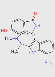 CN(C)N(C)c1[nH]c2c(N)cccc2c1[C@H]1NC(=O)c2ccc(O)cc21